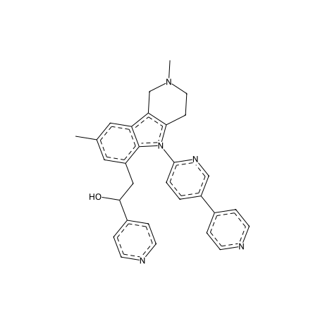 Cc1cc(CC(O)c2ccncc2)c2c(c1)c1c(n2-c2ccc(-c3ccncc3)cn2)CCN(C)C1